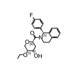 CCO[C@H]1CO[C@@H](C(=O)N2CCc3ccccc3[C@@H]2c2ccc(F)cc2)C[C@@H]1O